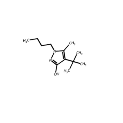 CCCCn1nc(O)c(C(C)(C)C)c1C